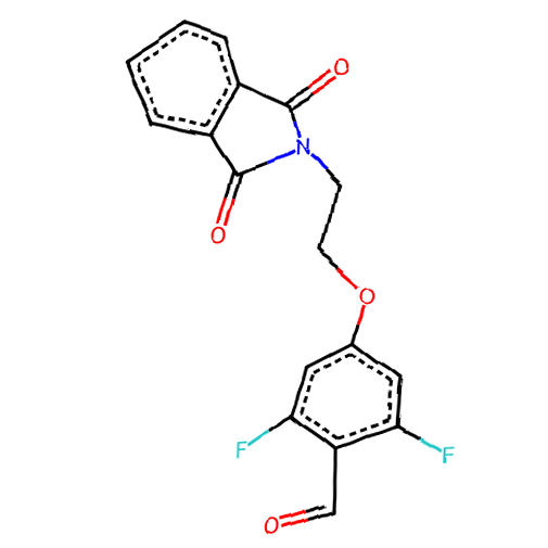 O=Cc1c(F)cc(OCCN2C(=O)c3ccccc3C2=O)cc1F